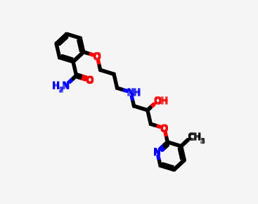 Cc1cccnc1OCC(O)CNCCCOc1ccccc1C(N)=O